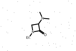 CCN1CC(N(C)C)C1=O